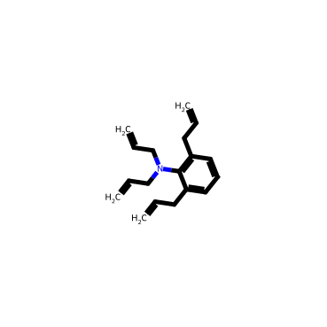 C=CCc1c[c]cc(CC=C)c1N(CC=C)CC=C